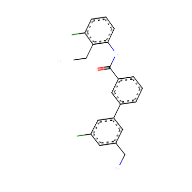 NCc1cc(F)cc(-c2cccc(C(=O)Nc3cccc(Br)c3CC(=O)O)c2)c1